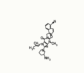 CC(C)=CCn1c(N2CCCC(N)C2)nc2c1c(=O)n(Cc1nccc3c(C#N)cccc13)c(=O)n2C